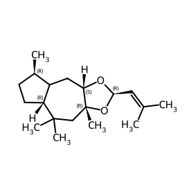 CC(C)=C[C@@H]1O[C@H]2CC3[C@H](C)CC[C@H]3C(C)(C)C[C@@]2(C)O1